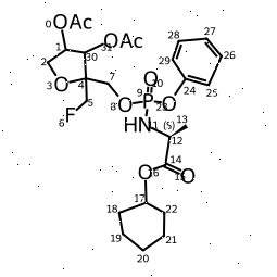 CC(=O)OC1COC(CF)(COP(=O)(N[C@@H](C)C(=O)OC2CCCCC2)Oc2ccccc2)C1OC(C)=O